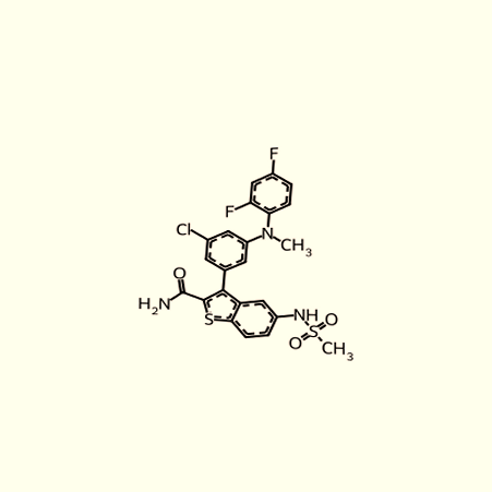 CN(c1cc(Cl)cc(-c2c(C(N)=O)sc3ccc(NS(C)(=O)=O)cc23)c1)c1ccc(F)cc1F